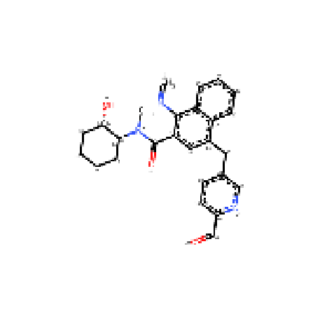 C=Nc1c(C(=O)N(C)[C@H]2CCCC[C@@H]2O)cc(Cc2ccc(C=O)nc2)c2ccccc12